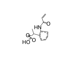 C=CC(=O)Nc1ccccc1C(C)S(=O)(=O)O